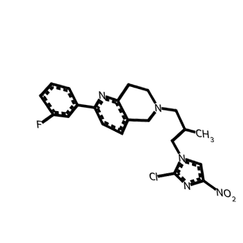 CC(CN1CCc2nc(-c3cccc(F)c3)ccc2C1)Cn1cc([N+](=O)[O-])nc1Cl